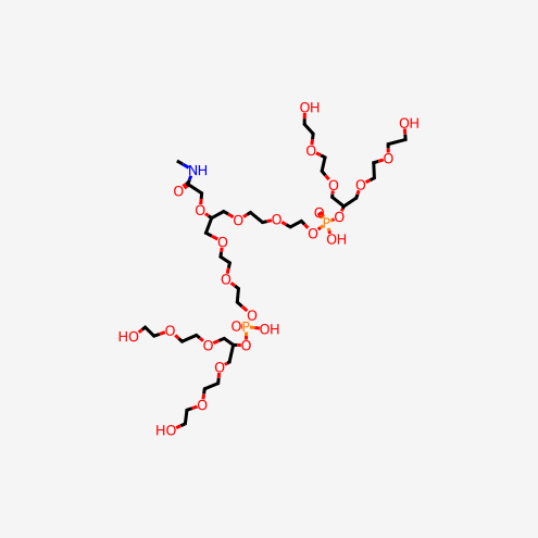 CNC(=O)COC(COCCOCCOP(=O)(O)OC(COCCOCCO)COCCOCCO)COCCOCCOP(=O)(O)OC(COCCOCCO)COCCOCCO